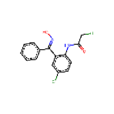 O=C(CCl)Nc1ccc(Cl)cc1/C(=N/O)c1ccccc1